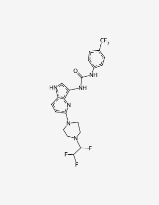 O=C(Nc1ccc(C(F)(F)F)cc1)Nc1c[nH]c2ccc(N3CCN(C(F)C(F)F)CC3)nc12